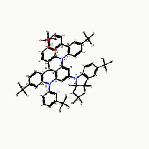 CC1(C)CC2(C)c3cc(C(C)(C)C)ccc3N(c3cc4c5c(c3)N(c3ccc(C(C)(C)C)cc3-c3ccccc3)c3cc(C(C)(C)C)ccc3B5c3ccc(C(C)(C)C)cc3N4c3cccc(C(C)(C)C)c3)C2(C)C1